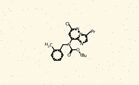 Cc1ccccc1CN(C(=O)OC(C)(C)C)c1cc(Cl)nn2c(C(C)C)cnc12